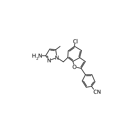 Cc1cc(N)nn1Cc1cc(Cl)cc2cc(-c3ccc(C#N)cc3)oc12